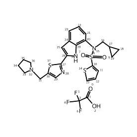 O=C(O)C(F)(F)F.O=S(=O)(c1cccs1)N(CC1CC1)c1cccc2cc(-c3ncc(CN4CCCC4)s3)[nH]c12